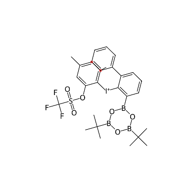 Cc1cc(C)c([I+]c2c(B3OB(C(C)(C)C)OB(C(C)(C)C)O3)cccc2-c2ccccc2)c(OS(=O)(=O)C(F)(F)F)c1